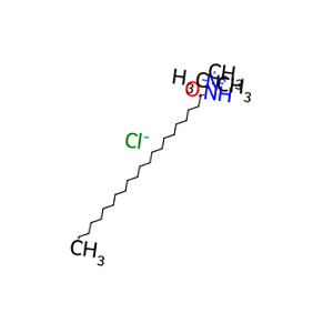 CCCCCCCCCCCCCCCCCCCCCC(=O)N[N+](C)(C)C.[Cl-]